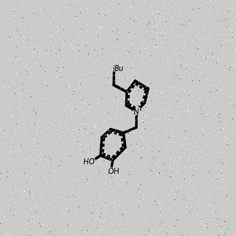 CCC(C)Cc1ccc[n+](Cc2ccc(O)c(O)c2)c1